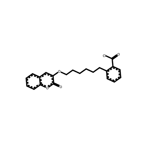 O=C(Cl)c1ccccc1CCCCCCOc1cc2ccccc2oc1=O